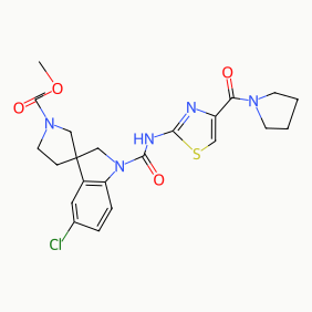 COC(=O)N1CCC2(C1)CN(C(=O)Nc1nc(C(=O)N3CCCC3)cs1)c1ccc(Cl)cc12